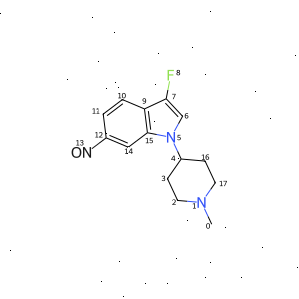 CN1CCC(n2cc(F)c3ccc(N=O)cc32)CC1